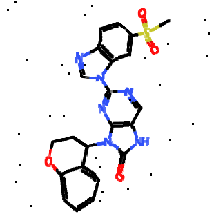 CS(=O)(=O)c1ccc2ncn(-c3ncc4[nH]c(=O)n([C@@H]5CCOc6ccccc65)c4n3)c2c1